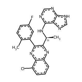 Cc1ccc(F)cc1-c1nc2c(Cl)cccc2nc1[C@H](C)Nc1ncnc2[nH]cnc12